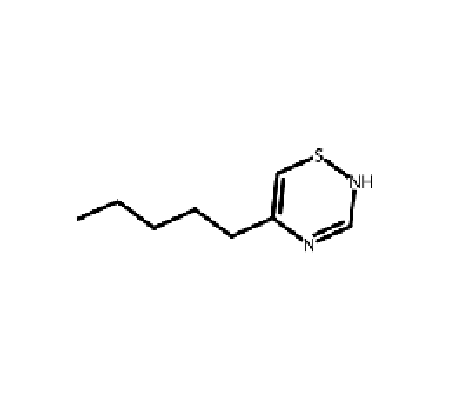 CCCCCC1=CSNC=N1